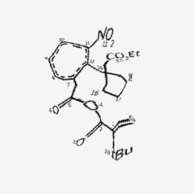 C=C(C(=O)OC(=O)c1cccc([N+](=O)[O-])c1C1(C(=O)OCC)CCC1)C(C)(C)C